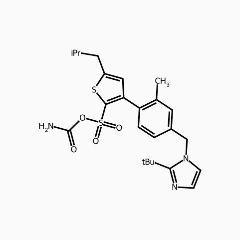 Cc1cc(Cn2ccnc2C(C)(C)C)ccc1-c1cc(CC(C)C)sc1S(=O)(=O)OC(N)=O